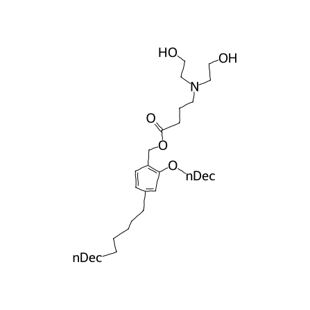 CCCCCCCCCCCCCCCc1ccc(COC(=O)CCCN(CCO)CCO)c(OCCCCCCCCCC)c1